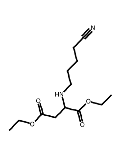 CCOC(=O)CC(NCCCCC#N)C(=O)OCC